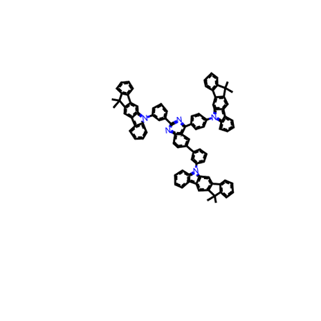 CC1(C)c2ccccc2-c2cc3c(cc21)c1ccccc1n3-c1ccc(-c2nc(-c3cccc(-n4c5ccccc5c5cc6c(cc54)-c4ccccc4C6(C)C)c3)nc3ccc(-c4cccc(-n5c6ccccc6c6cc7c(cc65)-c5ccccc5C7(C)C)c4)cc23)cc1